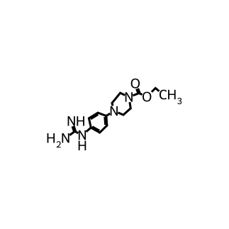 CCOC(=O)N1CCN(c2ccc(NC(=N)N)cc2)CC1